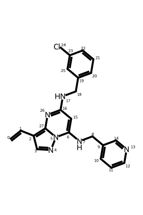 C=Cc1cnn2c(NCc3cccnc3)cc(NCc3cccc(Cl)c3)nc12